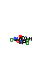 CCn1c(Oc2cc(Cl)n(C)n2)cc(=O)c(C(=O)O)c1-c1ccc(Cl)c(Cl)c1